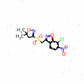 CC1(C)CC(S(=O)(=O)Cc2noc3c(Cl)c([N+](=O)[O-])ccc23)=NO1